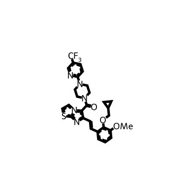 COc1cccc(C=Cc2nc3sccn3c2C(=O)N2CCN(c3ccc(C(F)(F)F)cn3)CC2)c1OCC1CC1